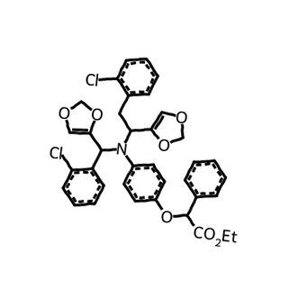 CCOC(=O)C(Oc1ccc(N(C(Cc2ccccc2Cl)C2=COCO2)C(C2=COCO2)c2ccccc2Cl)cc1)c1ccccc1